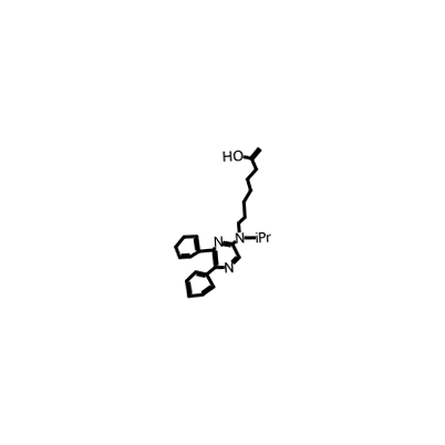 C=C(O)CCCCCCN(c1cnc(-c2ccccc2)c(C2=CCCC=C2)n1)C(C)C